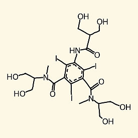 CN(C(=O)c1c(I)c(NC(=O)C(CO)CO)c(I)c(C(=O)N(C)C(CO)CO)c1I)C(CO)CO